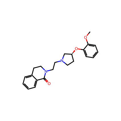 COc1ccccc1O[C@H]1CCN(CCN2CCc3ccccc3C2=O)C1